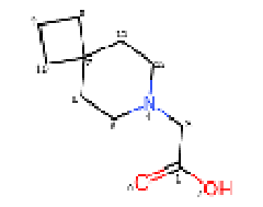 O=C(O)CN1CCC2(CCC2)CC1